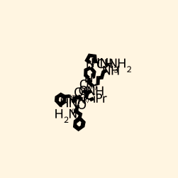 CC(C)C[C@@H](NC(=O)[C@@H](Cc1ccccc1)NC(=O)[C@H](N)Cc1ccccc1)C(=O)N[C@H](CCCCNC(=N)N)C(=O)N1CCC(N2CCC[C@H]2C)CC1